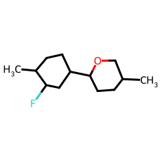 CC1CCC(C2CCC(C)C(F)C2)OC1